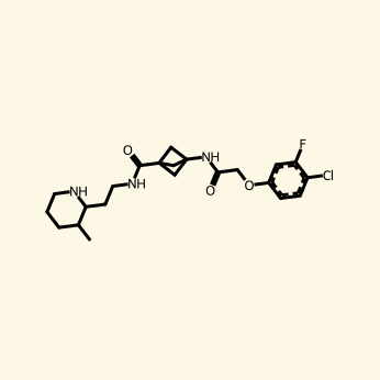 CC1CCCNC1CCNC(=O)C12CC(NC(=O)COc3ccc(Cl)c(F)c3)(C1)C2